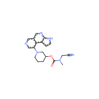 CN(CC#N)C(=O)OC1CCCN(c2cncc3cnc4[nH]ccc4c23)C1